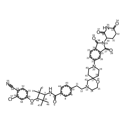 CC1(C)C(NC(=O)c2ccc(CCN3CCOC4(CCN(c5ccc6c(c5)C(=O)N(C5CCC(=O)NC5=O)C6=O)CC4)C3)cc2)C(C)(C)C1Oc1ccc(C#N)c(Cl)c1